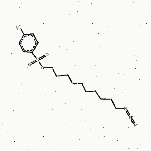 Cc1ccc(S(=O)(=O)OCCCCCCCCCCN=[N+]=[N-])cc1